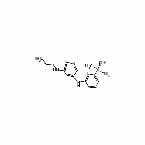 CC(C)(O)c1cccc(Nc2cnnc(NCCN)c2)n1